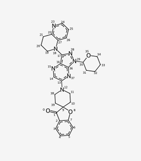 O=C1c2ccccc2OC12CCN(c1cnc3c(N4CCCc5ncccc54)nn(C4CCCCO4)c3n1)CC2